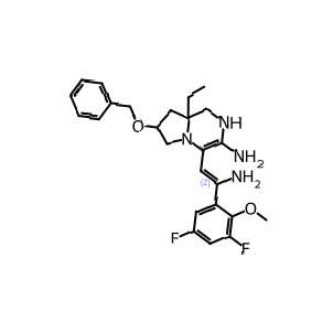 CCC12CNC(N)=C(/C=C(\N)c3cc(F)cc(F)c3OC)N1CC(OCc1ccccc1)C2